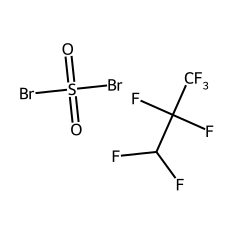 FC(F)C(F)(F)C(F)(F)F.O=S(=O)(Br)Br